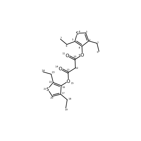 CCc1csc(CC)c1OC(=O)CC(=O)Oc1c(CC)csc1CC